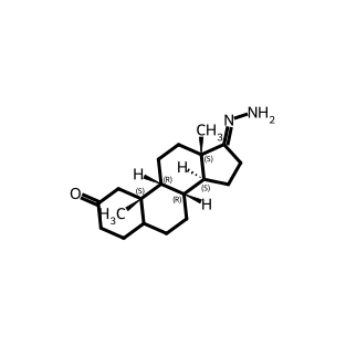 C[C@]12CC(=O)CCC1CC[C@@H]1[C@H]2CC[C@]2(C)C(=NN)CC[C@@H]12